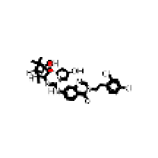 C[C@@H]1C(/N=C(/Nc2ccc3c(=O)n(CCc4ccc(Cl)cc4Cl)cnc3c2)N2C[C@H](O)C[C@@H]2CO)C[C@@H]2C[C@H]1C2(C)C